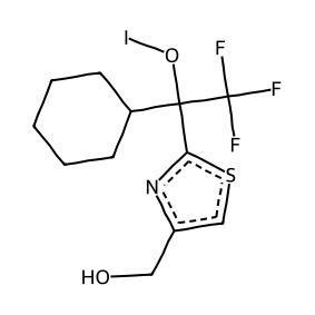 OCc1csc(C(OI)(C2CCCCC2)C(F)(F)F)n1